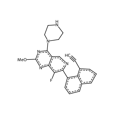 C#Cc1cccc2cccc(-c3ncc4c(N5CCNCC5)nc(OC)nc4c3F)c12